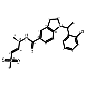 CC(c1ccccc1Cl)N1CCc2cc(C(=O)N[C@H](C)/C=C/S(C)(=O)=O)ccc21